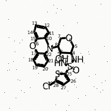 N=S(=O)(NC1COCC(N2c3ccccc3Oc3ccccc32)C1O)c1ccc(Cl)s1